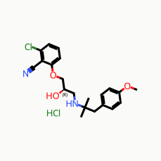 COc1ccc(CC(C)(C)NC[C@@H](O)COc2cccc(Cl)c2C#N)cc1.Cl